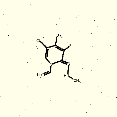 C=Cn1cc(Cl)c(C)c(F)/c1=N/NC